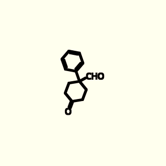 O=CC1(c2ccccc2)CCC(=O)CC1